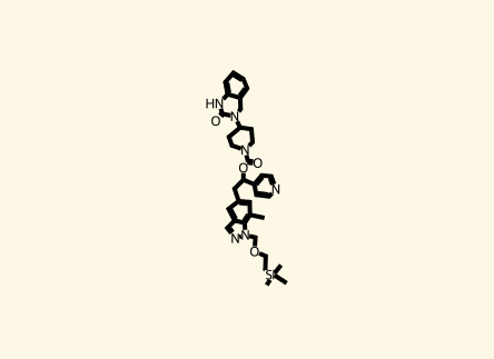 Cc1cc(CC(OC(=O)N2CCC(N3Cc4ccccc4NC3=O)CC2)c2ccncc2)cc2cnn(COCC[Si](C)(C)C)c12